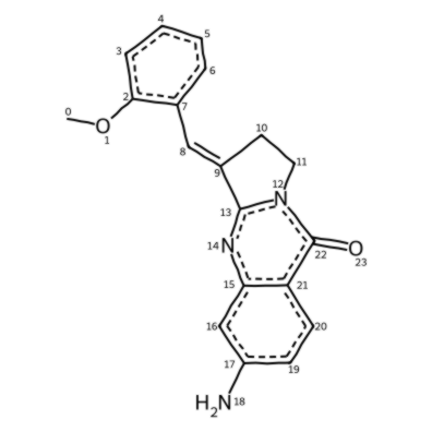 COc1ccccc1/C=C1\CCn2c1nc1cc(N)ccc1c2=O